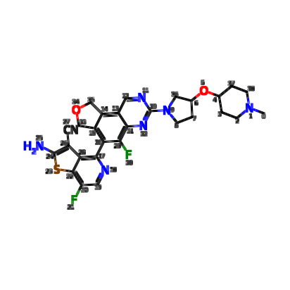 CN1CCC(OC2CCN(c3ncc4c5c(c(-c6ncc(F)c7sc(N)c(C#N)c67)c(F)c4n3)COC5)C2)CC1